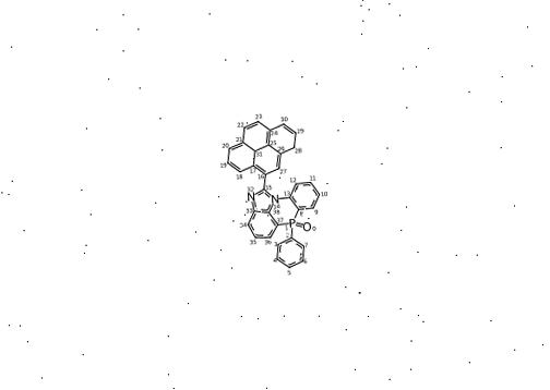 O=P1(c2ccccc2)c2ccccc2-n2c(C3=C4C=CC=C5C=CC6=C(C(=C3)CC=C6)C54)nc3cccc1c32